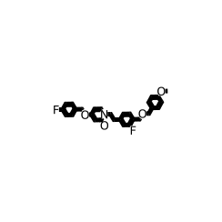 COc1ccc(COCc2ccc(CCn3ccc(OCc4ccc(F)cc4)cc3=O)cc2F)cc1